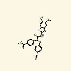 COC(=O)c1ccc(C(Oc2ccc(C#N)cc2)C(=O)Nc2nc3cc(OC)c(OC)cc3s2)cc1